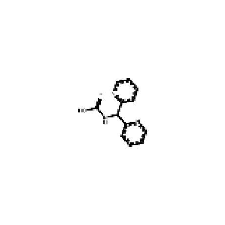 O=C(O)NC(c1ccccn1)c1ccccn1